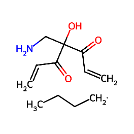 C=CC(=O)C(O)(CN)C(=O)C=C.[CH2]CCC